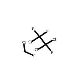 FC(F)(Cl)C(F)(Cl)Cl.F[CH]Cl